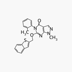 Cc1ccccc1-n1c(OCc2cc3ccccc3s2)nc2c(cnn2C)c1=O